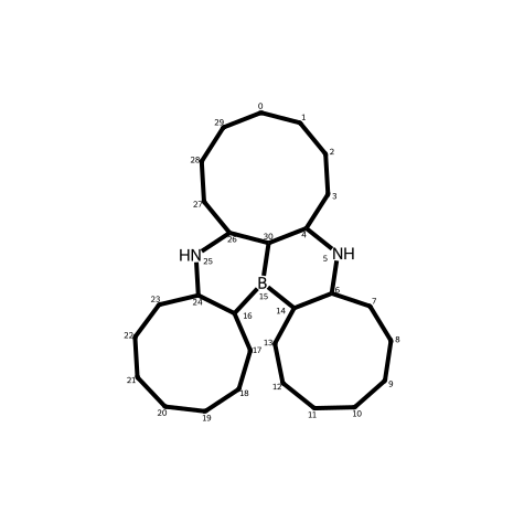 C1CCCC2NC3CCCCCCCC3B3C4CCCCCCCC4NC(CCC1)C32